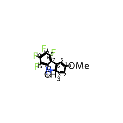 COc1ccc2c(c1)c1c(F)c(F)c(F)c(F)c1n2C